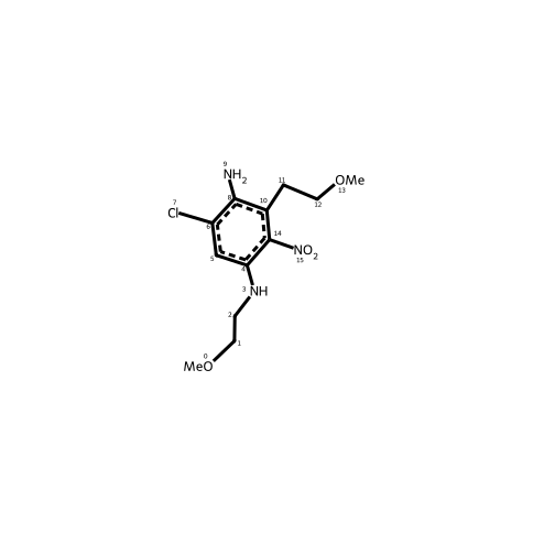 COCCNc1cc(Cl)c(N)c(CCOC)c1[N+](=O)[O-]